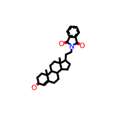 CC12CCC(=O)C=C1CCC1C2CCC2(C)C(CCN3C(=O)c4ccccc4C3=O)CCC12